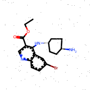 CCOC(=O)c1cnc2ccc(Br)cc2c1N[C@H]1CC[C@H](N)CC1